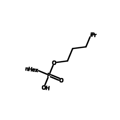 CCCCCCP(=O)(O)OCCCC(C)C